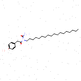 CCCCCCCCCCCCCCCCCCN(C(N)=O)C(=O)Cc1ccc(O)cc1